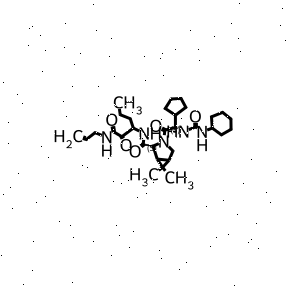 C=CCNC(=O)C(=O)C(CCC)NC(=O)[C@@H]1C2C(CN1C(=O)[C@@H](NC(=O)NC1CCCCC1)C1CCCC1)C2(C)C